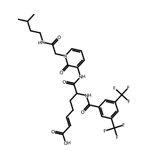 CC(C)CCNC(=O)Cn1cccc(NC(=O)C(CCC=CC(=O)O)NC(=O)c2cc(C(F)(F)F)cc(C(F)(F)F)c2)c1=O